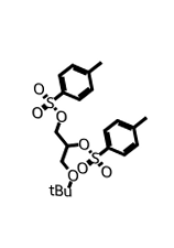 Cc1ccc(S(=O)(=O)OCC(COC(C)(C)C)OS(=O)(=O)c2ccc(C)cc2)cc1